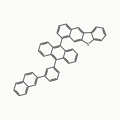 c1cc(-c2ccc3ccccc3c2)cc(-c2c3ccccc3c(-c3cccc4cc5c(cc34)sc3ccccc35)c3ccccc23)c1